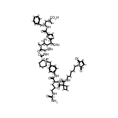 CC[C@H](C)[C@H](NC(=O)[C@H]1CCCC[N+]1(C)Cc1ccc(NC(=O)[C@H](CCCNC(N)=O)NC(=O)C2(C(=O)NCCCCCN3C(=O)C=CC3=O)CCC2)cc1)C(=O)N(C)C(CC(OC(C)=O)c1nc(C(=O)N[C@@H](Cc2ccccc2)C[C@H](C)C(=O)O)cs1)C(C)C